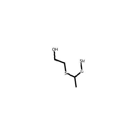 CC(OS)SCCO